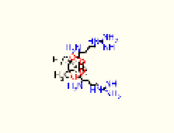 CC(C)(CC(C)(C)OC(=O)C(N)CCCNC(=N)N)OC(=O)C(N)CCCNC(=N)N